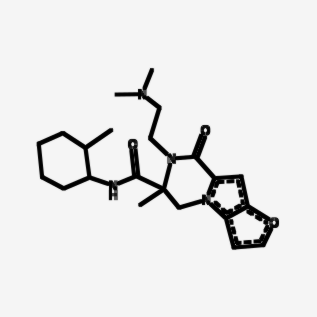 CC1CCCCC1NC(=O)C1(C)Cn2c(cc3occc32)C(=O)N1CCN(C)C